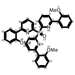 COc1ccccc1-c1cccc(P(=O)(c2cccc(-c3ccccc3OC)n2)c2cccc(-c3ccccc3OC)n2)n1